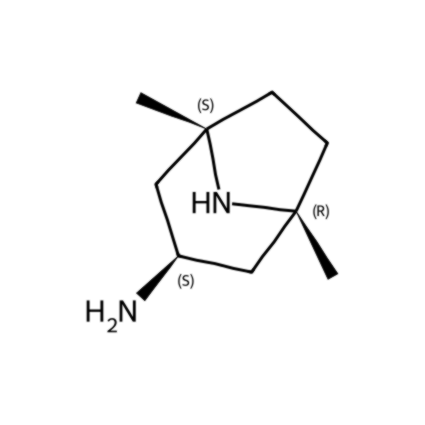 C[C@]12CC[C@](C)(C[C@@H](N)C1)N2